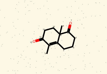 CC1=C2CCCC(=O)C2(C)CCC1=O